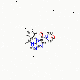 C[C@@H](c1ccccc1)n1cnc2ncc(C(=O)N3CCOCC3)nc21